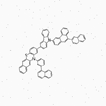 c1cc(-c2cccc3ccccc23)cc(N2c3cc(-c4ccc5c(c4)c4ccccc4n5-c4ccc5cc(-c6ccc7ccccc7c6)c6ccccc6c5c4)ccc3Sc3cc4ccccc4cc32)c1